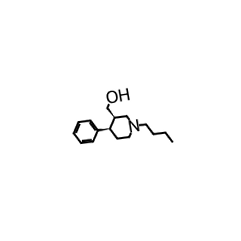 CCCCN1CC[C@@H](c2ccccc2)[C@@H](CO)C1